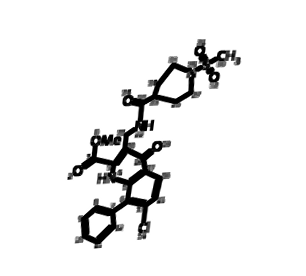 COC(=O)c1[nH]c2c(-c3ccccc3)c(Cl)ccc2c(=O)c1CNC(=O)C1CCN(S(C)(=O)=O)CC1